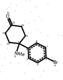 CNC1(c2ccc(Br)cc2)CCC(=O)CC1